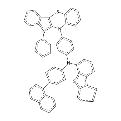 c1ccc(-n2c3c(c4ccccc42)Sc2ccccc2N3c2ccc(N(c3ccc(-c4cccc5ccccc45)cc3)c3cccc4c3sc3ccccc34)cc2)cc1